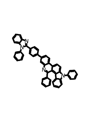 c1ccc(-c2nc3cc(-c4ccc(-c5nc6ccccc6n5-c5ccccc5)cc4)ccc3c3ccc4c(c5ccccc5n4-c4ccccc4)c23)cc1